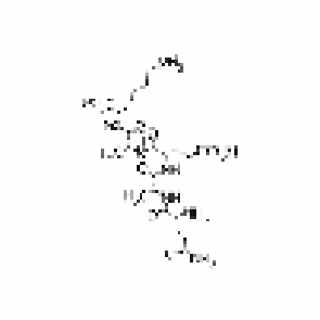 C[C@H](NC(=O)[C@H](CCC(=O)O)NC(=O)[C@H](C)NC(=O)[C@@H](N)CCC(N)=O)C(=O)N[C@@H](CCCCN)C(=O)O